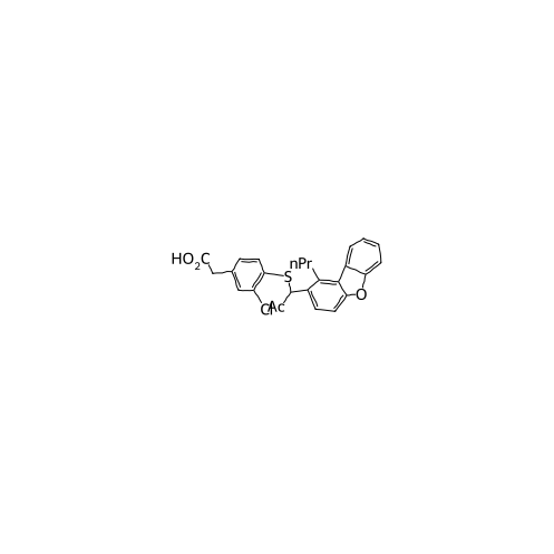 CCCc1c(C(Sc2ccc(CC(=O)O)cc2Cl)C(C)=O)ccc2oc3ccccc3c12